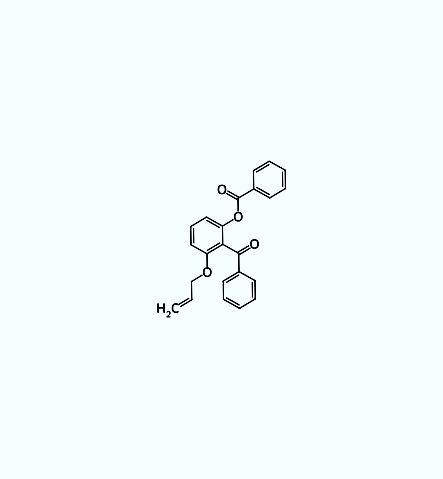 C=CCOc1cccc(OC(=O)c2ccccc2)c1C(=O)c1ccccc1